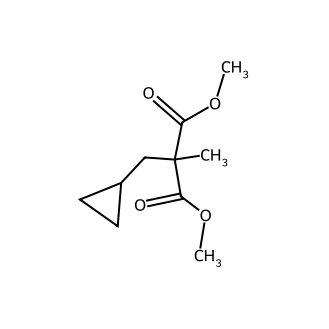 COC(=O)C(C)(CC1CC1)C(=O)OC